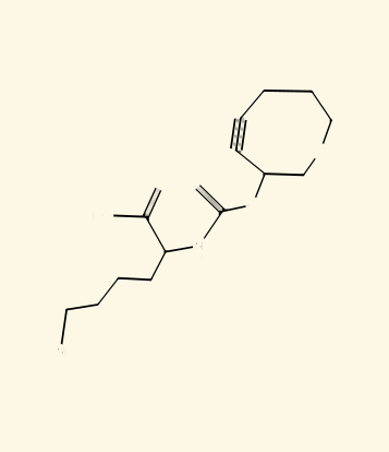 NCCCCC(NC(=O)OC1C#CCCCCC1)C(=O)O